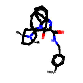 C[C@]1(n2c(=O)c(C(=O)NCc3ccc(C(=O)O)cc3)nc3ccccc32)C[C@H]2CC[C@@H](C1)N2C1CCCCCCC1